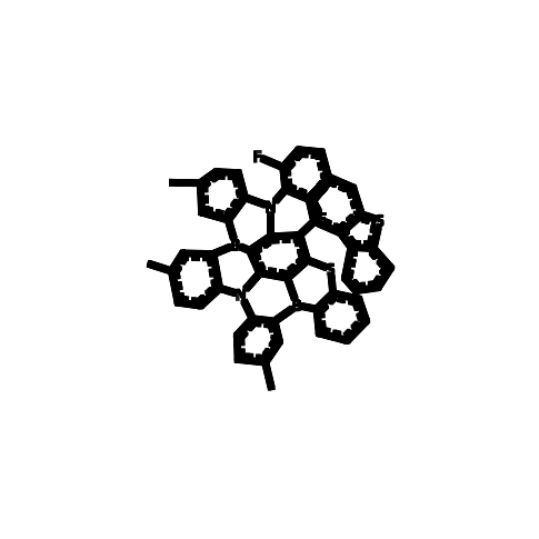 Cc1ccc2c(c1)B1c3ccccc3Sc3c1c1c4c(c3-c3cccc5sc6ccccc6c35)N(c3c(F)cccc3F)c3ccc(C)cc3B4c3cc(C)ccc3N21